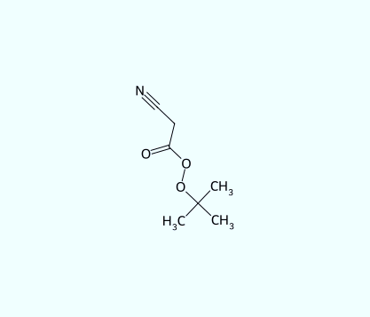 CC(C)(C)OOC(=O)CC#N